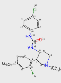 COc1ccc(C2CN(C(=O)O)CCC2NC(=O)Nc2ccc(Cl)cc2)c(F)c1